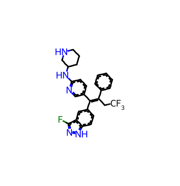 Fc1n[nH]c2ccc(/C(=C(\CC(F)(F)F)c3ccccc3)c3ccc(NC4CCCNC4)nc3)cc12